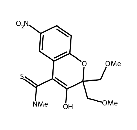 CNC(=S)C1=C(O)C(COC)(COC)Oc2ccc([N+](=O)[O-])cc21